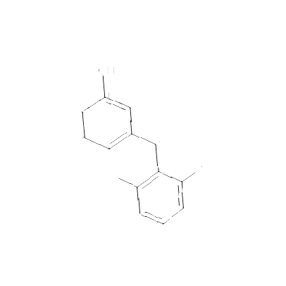 OC1=CC(Cc2c(F)cccc2Cl)=CCC1